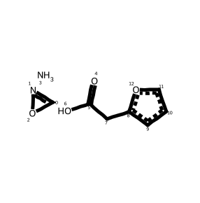 C1=NO1.N.O=C(O)Cc1ccco1